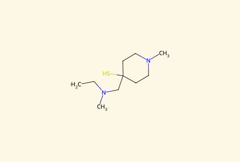 [CH2]CN(C)CC1(S)CCN(C)CC1